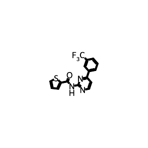 O=C(Nc1nccc(-c2cccc(C(F)(F)F)c2)n1)c1cccs1